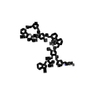 C/N=C/c1cncc(COc2cc(OCc3cccc(-c4cccc(COc5cc(OCc6cncc(C#N)c6)c(CN[C@@H](Cc6c[nH]c7ccccc67)C(=O)O)cc5Cl)c4C)c3C)c(Cl)cc2CN[C@@H](Cc2c[nH]c3ccccc23)C(=O)O)c1